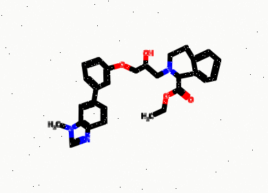 CCOC(=O)C1c2ccccc2CCN1CC(O)COc1cccc(-c2ccc3ncn(C)c3c2)c1